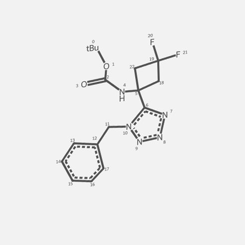 CC(C)(C)OC(=O)NC1(c2nnnn2Cc2ccccc2)CC(F)(F)C1